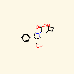 O=C(O)[C@H](CC1CCC1)N1C[C@H](CO)[C@@H](c2ccccc2)C1